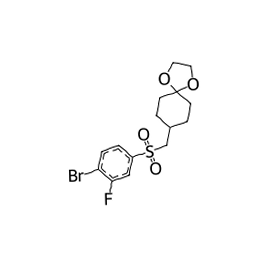 O=S(=O)(CC1CCC2(CC1)OCCO2)c1ccc(Br)c(F)c1